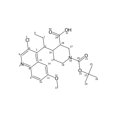 CCC(c1c(Cl)cnc2ccc(OC)cc12)C1CCN(C(=O)OC(C)(C)C)CC1C(=O)O